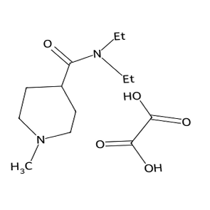 CCN(CC)C(=O)C1CCN(C)CC1.O=C(O)C(=O)O